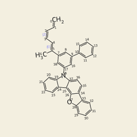 C=C/C=C\C=C(/C)c1cc(-c2ccccc2)cc(-n2c3ccccc3c3c4oc5ccccc5c4ccc32)c1